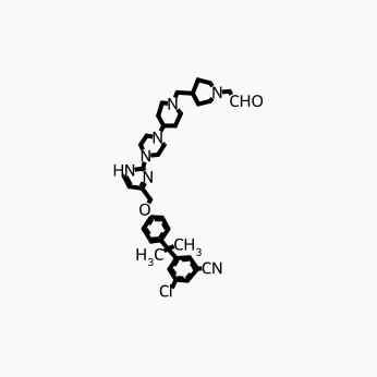 CC(C)(c1ccc(OCC2=NC(N3CCN(C4CCN(CC5CCN(CC=O)CC5)CC4)CC3)NC=C2)cc1)c1cc(Cl)cc(C#N)c1